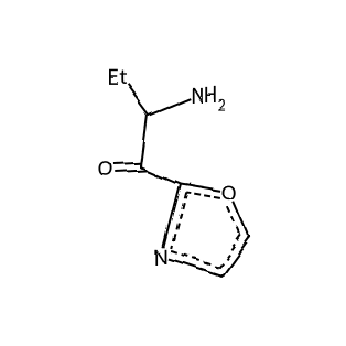 CCC(N)C(=O)c1ncco1